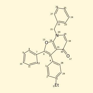 CCc1ccc(-c2c(-c3ccccc3)oc3c2c(=O)ccn3Cc2ccccc2)cc1